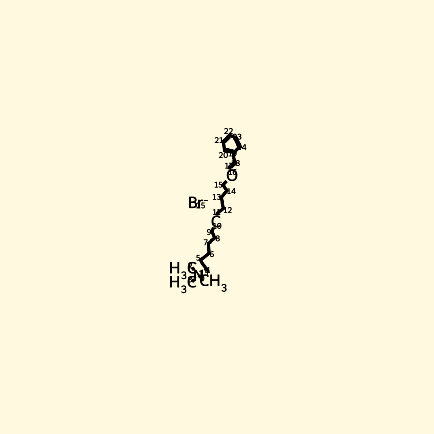 C[N+](C)(C)CCCCCCCCCCCCOC=Cc1ccccc1.[Br-]